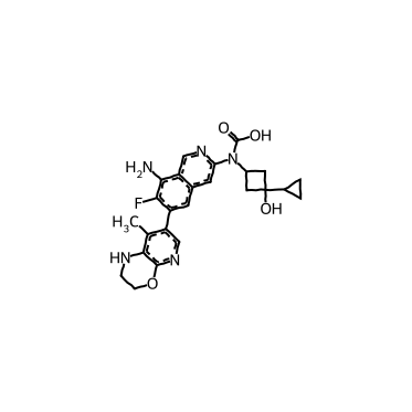 Cc1c(-c2cc3cc(N(C(=O)O)C4CC(O)(C5CC5)C4)ncc3c(N)c2F)cnc2c1NCCO2